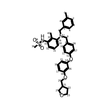 Cc1cccc(CN(Cc2ccc(Oc3cccc(OCC4CCOC4)c3)cc2)c2cccc(NS(C)(=O)=O)c2C)c1